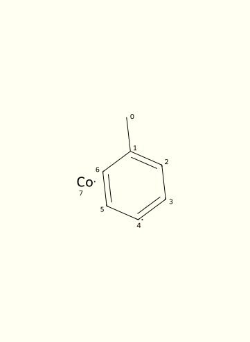 Cc1cc[c]cc1.[Co]